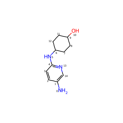 Nc1ccc(NC2CCC(O)CC2)nc1